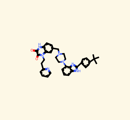 CC(C)(C)c1ccc(-c2nc3c(N4CCN(Cc5ccc6[nH]c(=O)c(=O)n(CCc7ccccn7)c6c5)CC4)cccc3[nH]2)cc1